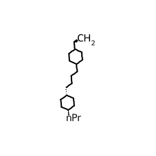 C=CC1CCC(CCCC[C@H]2CC[C@H](CCC)CC2)CC1